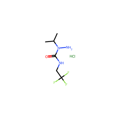 CC(C)N(N)C(=O)NCC(F)(F)F.Cl